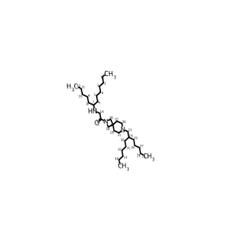 CCCCCCCC(CCCCC)NCC(=O)N1CC2(CCN(CC(CCCCC)CCCCCC)CC2)C1